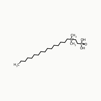 CCCCCCCCCCCCCCCC[N+](C)(C)CCP(=O)(O)O